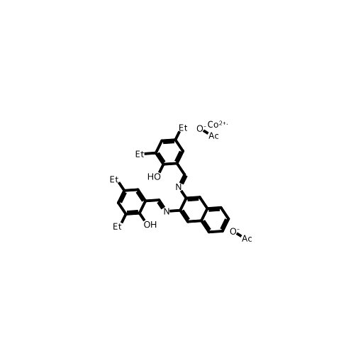 CC(=O)[O-].CC(=O)[O-].CCc1cc(C=Nc2cc3ccccc3cc2N=Cc2cc(CC)cc(CC)c2O)c(O)c(CC)c1.[Co+2]